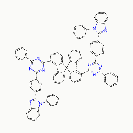 c1ccc(-c2nc(-c3ccc(-c4nc5ccccc5n4-c4ccccc4)cc3)nc(-c3cccc4c3-c3ccccc3C43c4ccccc4-c4c(-c5nc(-c6ccccc6)nc(-c6ccc(-c7nc8ccccc8n7-c7ccccc7)cc6)n5)cccc43)n2)cc1